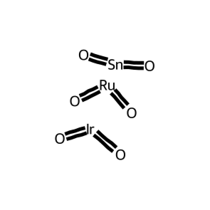 [O]=[Ir]=[O].[O]=[Ru]=[O].[O]=[Sn]=[O]